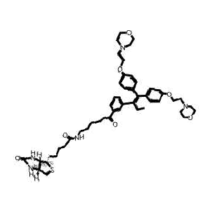 CCC(=C(c1ccc(OCCN2CCOCC2)cc1)c1ccc(OCCN2CCOCC2)cc1)c1cccc(C(=O)CCCCCNC(=O)CCCC[C@@H]2SC[C@@H]3NC(=O)N[C@@H]32)c1